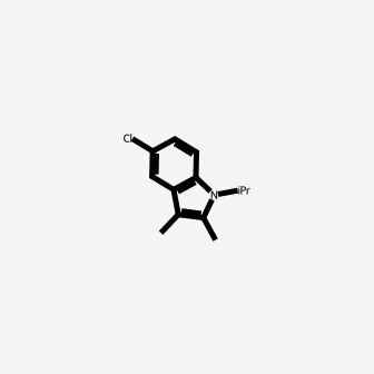 Cc1c(C)n(C(C)C)c2ccc(Cl)cc12